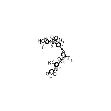 CC1(C)C(=O)N(c2cnc(C#N)c(C(F)(F)F)c2)C(=S)N1[C@H]1CC[C@H](OCCN2CCN(CC(=O)Nc3cc(C#N)cc(NC4CCC(=O)NC4=O)c3)[C@@H](C(F)(F)F)C2)CC1